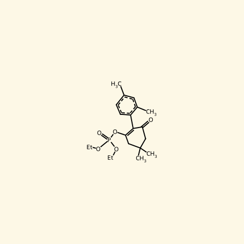 CCOP(=O)(OCC)OC1=C(c2ccc(C)cc2C)C(=O)CC(C)(C)C1